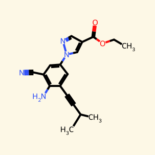 CCOC(=O)c1cnn(-c2cc(C#N)c(N)c(C#CC(C)C)c2)c1